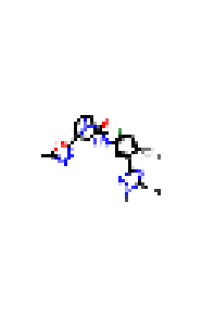 Cc1nnc(C23CC(C)CC(C2)N3C(=O)Nc2cc(-c3nc(C#N)n(C)n3)c(C(F)(F)F)cc2F)o1